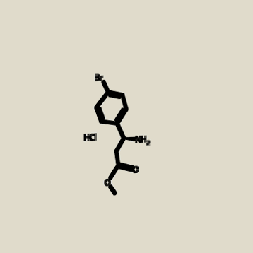 COC(=O)C[C@H](N)c1ccc(Br)cc1.Cl